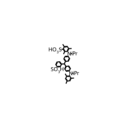 Cc1cc(C)c(N(c2ccc(C(c3ccc(N(c4c(C)cc(C)c(S(=O)(=O)O)c4C)C(C)C)cc3)c3ccccc3S(=O)(=O)O)cc2)C(C)C)c(C)c1